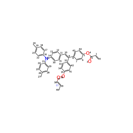 C=CC(=O)Oc1ccc(C(=Cc2ccc(N(c3ccc(C)cc3)c3ccc(C)cc3)cc2)c2ccc(OO/C=C/C)cc2)cc1